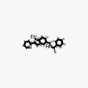 CCn1c(-c2ccccn2)cc2cc(CN[C@H](C)c3ccccc3)ccc21